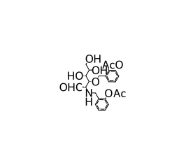 CC(=O)Oc1ccccc1CN[C@@H](C=O)[C@@H](OCc1ccccc1OC(C)=O)[C@H](O)[C@H](O)CO